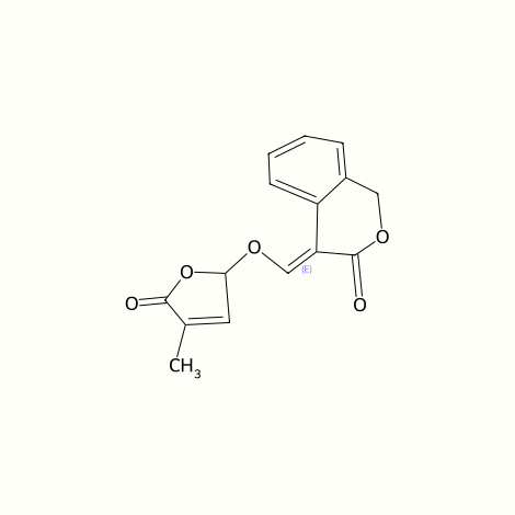 CC1=CC(O/C=C2/C(=O)OCc3ccccc32)OC1=O